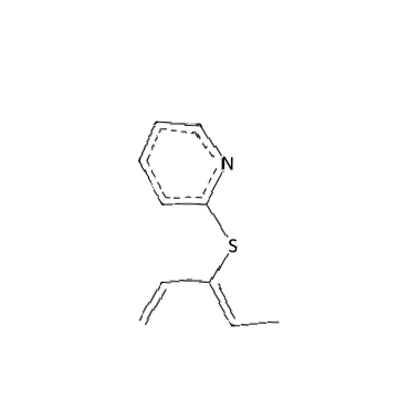 C=C/C(=C/C)Sc1ccccn1